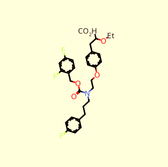 CCOC(Cc1ccc(OCCN(CCCc2ccc(F)cc2)C(=O)OCc2ccc(F)cc2F)cc1)C(=O)O